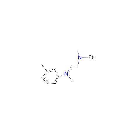 CCN(C)CCN(C)c1cccc(C)c1